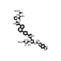 COC(=O)N[C@H](C(=O)N1CC(OC(O)N2Cc3cc4c(cc3C2)OCO4)CC1c1nc(-c2ccc(-c3cccc4c(-c5c[nH]c([C@@H]6CCCN6C(=O)[C@@H](NC(=O)OC)C(C)C)n5)cccc34)cc2)c[nH]1)C(C)C